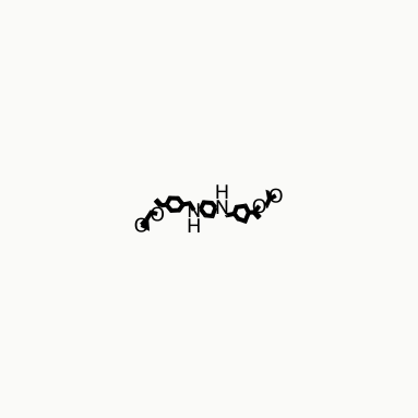 C=C(OCC1CO1)C1CCC(CNC2CCC(NCC3CCC(C(=C)OCC4CO4)CC3)CC2)CC1